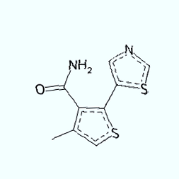 Cc1csc(-c2cncs2)c1C(N)=O